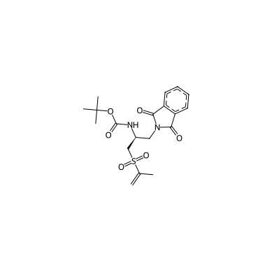 C=C(C)S(=O)(=O)C[C@H](CN1C(=O)c2ccccc2C1=O)NC(=O)OC(C)(C)C